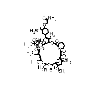 CCC1/C=C(\C)CC(C)CC(OC)C2OC(O)(C(=O)C(=O)N3CCCCC3C(=O)OC(C(C)=CC3CCC(OCC(N)=O)C(OC)C3)C(C)C(O[Si](C)(C)C(C)(C)C)CC1=O)C(C)CC2OC